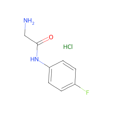 Cl.NCC(=O)Nc1ccc(F)cc1